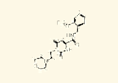 O=C(NCc1ccccc1OC(F)(F)F)c1cc(=O)n(CCN2CCOCC2)c(=O)[nH]1